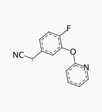 N#C[CH]c1ccc(F)c(Oc2ccccn2)c1